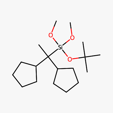 CO[Si](OC)(OC(C)(C)C)C(C)(C1CCCC1)C1CCCC1